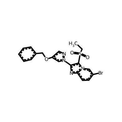 CCS(=O)(=O)c1c(-n2cc(OCc3ccccc3)cn2)nc2ccc(Br)cn12